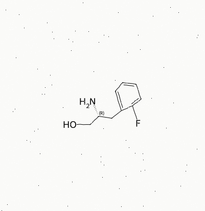 N[C@@H](CO)Cc1ccccc1F